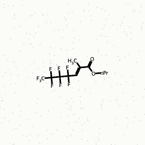 CCCOC(=O)C(C)=CC(F)(F)C(F)(F)C(F)(F)C(F)(F)F